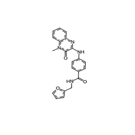 Cn1c(=O)c(Nc2ccc(C(=O)NCc3ccco3)cc2)nc2ccccc21